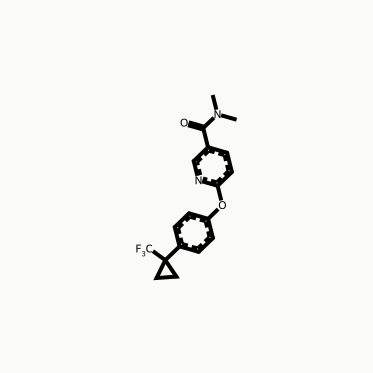 CN(C)C(=O)c1ccc(Oc2ccc(C3(C(F)(F)F)CC3)cc2)nc1